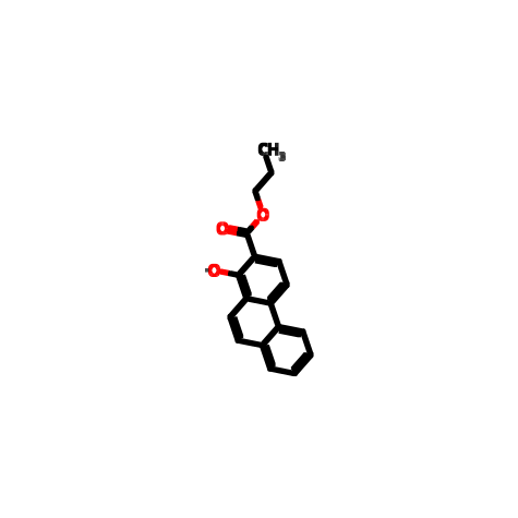 CCCOC(=O)c1ccc2c(ccc3ccccc32)c1[O]